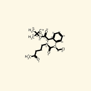 CC(=O)CCCN(C(=O)OCCl)[C@H](C(=O)OC(C)(C)C)c1ccccc1